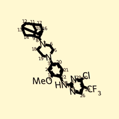 COc1cc(N2CCN(C3C4CC5CC(C4)CC3C5)CC2)ccc1Nc1ncc(C(F)(F)F)c(Cl)n1